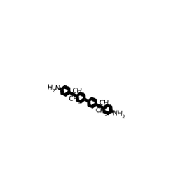 CC(C)(c1ccc(N)cc1)c1ccc(-c2ccc(C(C)(C)c3ccc(N)cc3)cc2)cc1